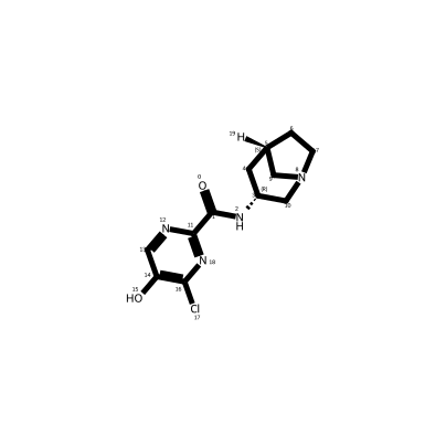 O=C(N[C@@H]1C[C@@H]2CCN(C2)C1)c1ncc(O)c(Cl)n1